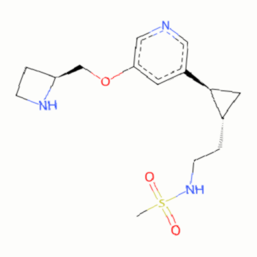 CS(=O)(=O)NCC[C@H]1C[C@@H]1c1cncc(OC[C@@H]2CCN2)c1